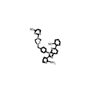 N#Cc1ccnc(N2CCN(Cc3ccc(-n4c(-c5cccnc5N)nc5ccc(-c6ccccc6C#N)nc54)cc3)CC2)n1